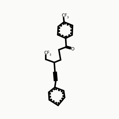 O=C(CCC(C#Cc1ccccc1)CC(F)(F)F)c1ccc(C(F)(F)F)cc1